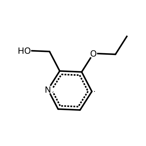 CCOc1[c]ccnc1CO